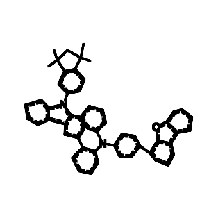 CC1(C)CC(C)(C)c2cc(-n3c4ccccc4c4cc(-c5ccccc5N(c5ccccc5)c5ccc(-c6cccc7c6oc6ccccc67)cc5)ccc43)ccc21